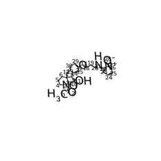 CC(=O)N1CCCC(CC(=O)O)(Cc2ccc(OCCCNc3cccc[n+]3[O-])cc2)C1